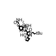 CC(C)(C)CCn1nc(-c2cccs2)c(O)c(C2=NP(=O)(O)c3cc(OCC(N)=O)ccc3N2)c1=O